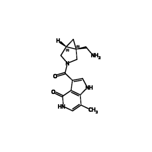 Cc1c[nH]c(=O)c2c(C(=O)N3C[C@@H]4C[C@]4(CN)C3)c[nH]c12